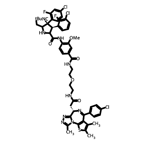 COc1cc(C(=O)NCCOCCNC(=O)C[C@@H]2N=C(c3ccc(Cl)cc3)c3c(sc(C)c3C)-n3c(C)nnc32)ccc1NC(=O)C1NC(CC(C)(C)C)[C@](C#N)(c2ccc(Cl)cc2F)[C@H]1c1cccc(Cl)c1F